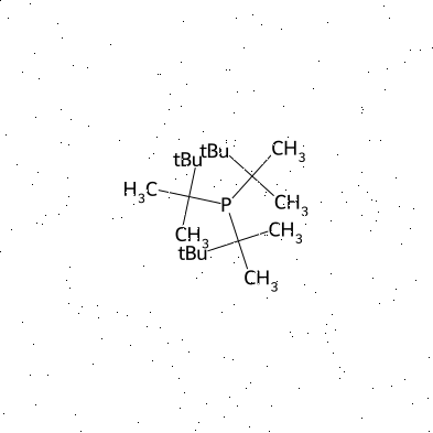 CC(C)(C)C(C)(C)P(C(C)(C)C(C)(C)C)C(C)(C)C(C)(C)C